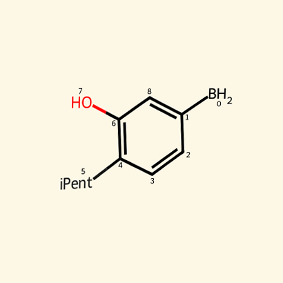 Bc1ccc(C(C)CCC)c(O)c1